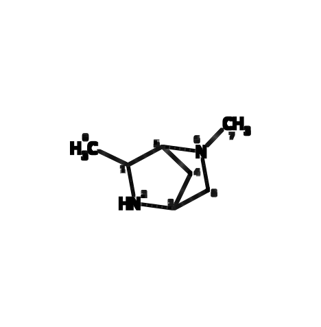 CC1NC2CC1N(C)C2